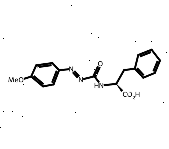 COc1ccc(N=NC(=O)N[C@@H](Cc2ccccc2)C(=O)O)cc1